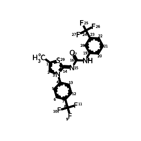 Cc1cn(-c2ccc(C(F)(F)F)cc2)c(=NC(=O)Nc2cccc(C(F)(F)F)c2)s1